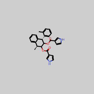 Cc1ccccc1[C@H]1c2ccccc2[C@H](C)C(OC(=O)c2cc[nH]c2)C1OC(=O)c1cc[nH]c1